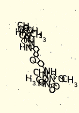 COC[C@H]1C[C@@H](c2nc(Cl)c(-c3ccc4c(c3)COc3cc5c(ccc6nc([C@@H]7CC[C@H](C)N7C(=O)[C@@H](NC(=O)OC)C(C)C)[nH]c65)cc3-4)[nH]2)N(C[C@@](C=O)(NC(=O)OC)c2ccccc2)C1